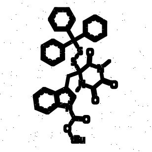 CN1C(=O)C(=O)N(C)C(Cc2cn(C(=O)OC(C)(C)C)c3ccccc23)(SSC(c2ccccc2)(c2ccccc2)c2ccccc2)C1=O